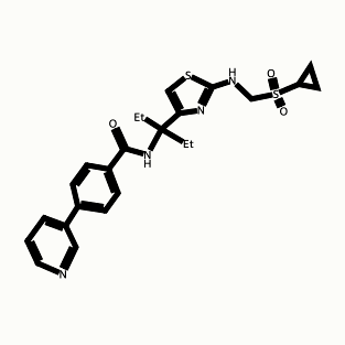 CCC(CC)(NC(=O)c1ccc(-c2cccnc2)cc1)c1csc(NCS(=O)(=O)C2CC2)n1